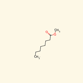 [CH2]CCCCCCC(=O)OC